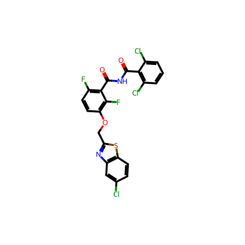 O=C(NC(=O)c1c(F)ccc(OCc2nc3cc(Cl)ccc3s2)c1F)c1c(Cl)cccc1Cl